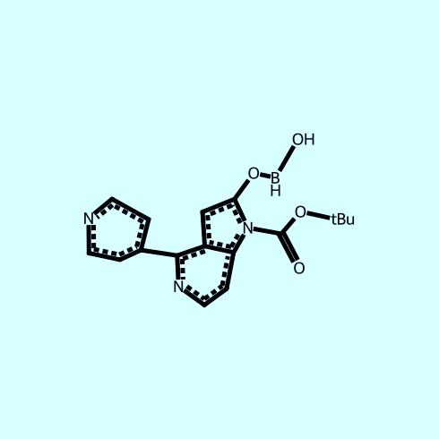 CC(C)(C)OC(=O)n1c(OBO)cc2c(-c3ccncc3)nccc21